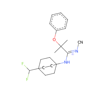 CC(C)(Oc1ccccc1)/C(=N\C#N)NC12CCC(C(F)F)(CC1)CC2